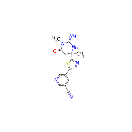 CN1C(=N)NC(C)(c2ncc(-c3cncc(C#N)c3)s2)CC1=O